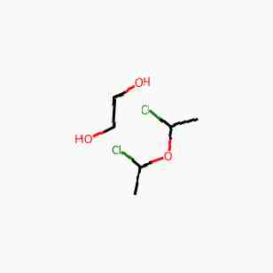 CC(Cl)OC(C)Cl.OCCO